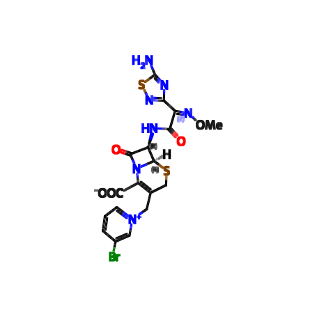 CO/N=C(\C(=O)N[C@@H]1C(=O)N2C(C(=O)[O-])=C(C[n+]3cccc(Br)c3)CS[C@H]12)c1nsc(N)n1